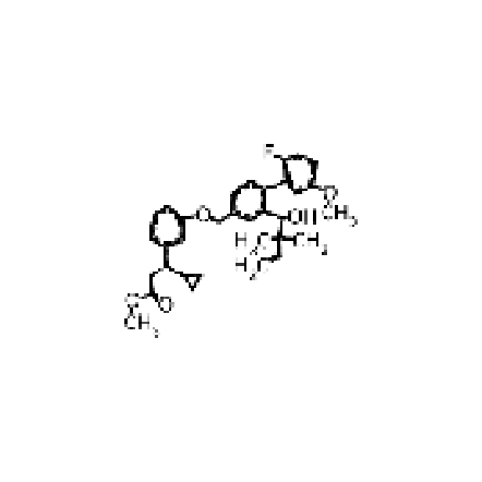 C=CC(C)(C)[C@@H](O)c1cc(COc2cccc([C@H](CC(=O)OC)C3CC3)c2)ccc1-c1cc(OC)ccc1F